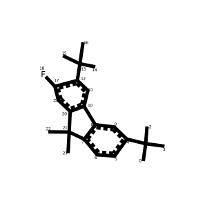 CC(C)(C)c1ccc2c(c1)-c1cc(C(C)(C)C)c(F)cc1C2(C)C